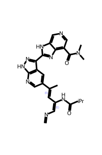 C=N/C=C(\C=C(/C)c1cnc2[nH]nc(-c3nc4c(C(=O)N(C)C)cncc4[nH]3)c2c1)NC(=O)C(C)C